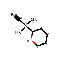 C#C[Si](C)(C)C1CCCCO1